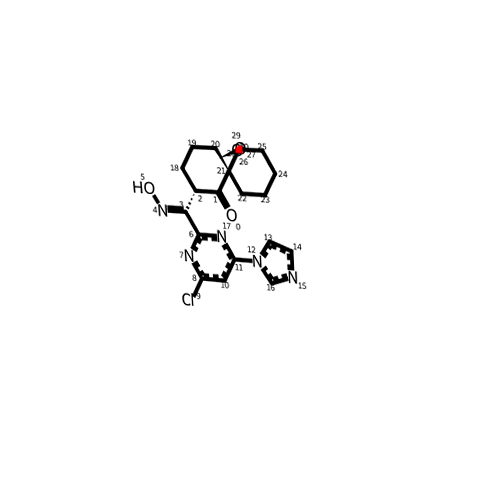 O=C1[C@H](/C(=N\O)c2nc(Cl)cc(-n3ccnc3)n2)CCC[C@@]12CCCCC21OCCO1